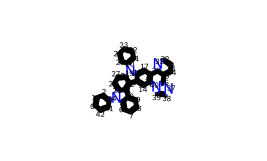 c1ccc(-n2c3ccccc3c3c4c5cc6c(cc5n(-c5ccccc5)c4ccc32)c2ncccc2c2nccn62)cc1